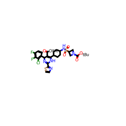 COC(=O)C1=C(C2CCC(NS(=O)(=O)C3CN(C(=O)OC(C)(C)C)C3)CC2)NC(c2nccs2)=NC1c1ccc(F)c(F)c1Cl